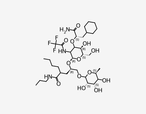 CCCCC(C[C@H](COC1O[C@@H](C)C(O)[C@H](O)[C@@H]1O)O[C@@H]1O[C@@H](CO)[C@H](O)C(O[C@@H](CC2CCCCC2)C(N)=O)C1NC(=O)C(F)(F)F)C(=O)NCCC